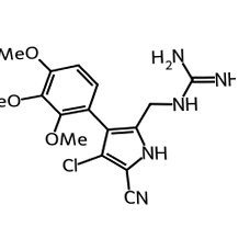 COc1ccc(-c2c(CNC(=N)N)[nH]c(C#N)c2Cl)c(OC)c1OC